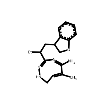 CCC(CC1COc2ccccc21)C1=N/NC/C=C(C)/C(N)=N\1